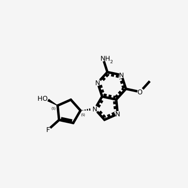 COc1nc(N)nc2c1ncn2[C@@H]1C=C(F)[C@@H](O)C1